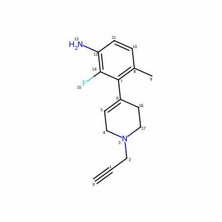 C#CCN1CC=C(c2c(C)ccc(N)c2F)CC1